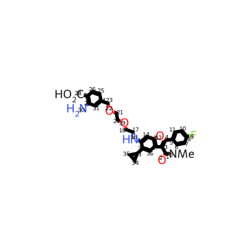 CNC(=O)c1c(-c2ccc(F)cc2)oc2cc(NCCOCCOCc3ccc(C(=O)O)c(N)c3)c(C3CC3)cc12